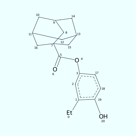 CCc1cc(OC(=O)C23CC4CC(CC(C4)C2)C3)ccc1O